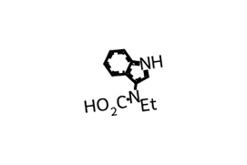 CCN(C(=O)O)c1c[nH]c2ccccc12